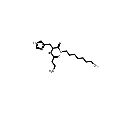 CCCCCCCCOC(=O)C(Cc1c[nH]cn1)NC(=O)CCN